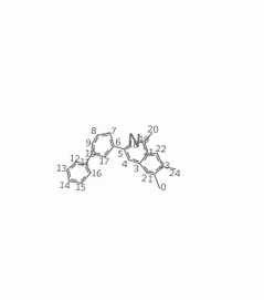 Cc1cc2cc(-c3cccc(-c4ccccc4)c3)nc(C)c2cc1C